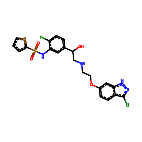 O=S(=O)(Nc1cc(C(O)CNCCOc2ccc3c(Cl)n[nH]c3c2)ccc1F)c1cccs1